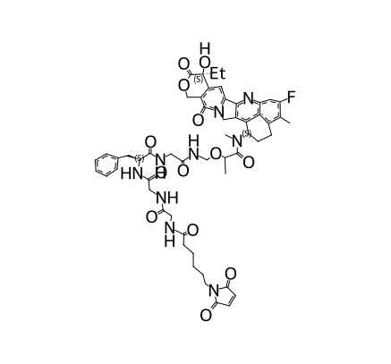 CC[C@@]1(O)C(=O)OCc2c1cc1n(c2=O)Cc2c-1nc1cc(F)c(C)c3c1c2[C@@H](N(C)C(=O)C(C)OCNC(=O)CNC(=O)[C@H](Cc1ccccc1)NC(=O)CNC(=O)CNC(=O)CCCCCN1C(=O)C=CC1=O)CC3